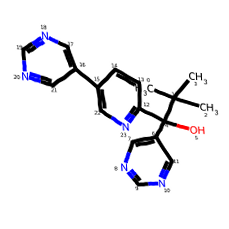 CC(C)(C)C(O)(c1cncnc1)c1ccc(-c2cncnc2)cn1